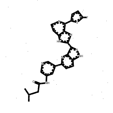 CC(C)CC(=O)Nc1cncc(-c2ccc3[nH]nc(-c4nc5c(-c6ccc(F)s6)nccc5[nH]4)c3n2)c1